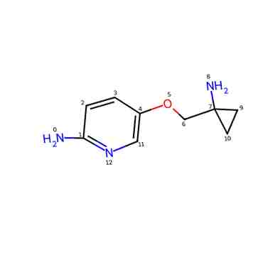 Nc1ccc(OCC2(N)CC2)cn1